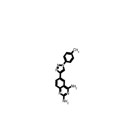 Cc1ccc(-n2cc(-c3ccc4nc(N)nc(N)c4c3)nn2)cc1